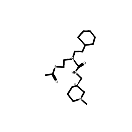 CC(=O)SCCN(CCC1CCCCC1)C(=O)NC[C@@H]1CCCN(C)C1